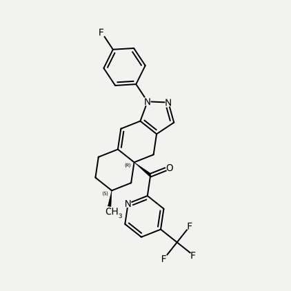 C[C@H]1CCC2=Cc3c(cnn3-c3ccc(F)cc3)C[C@]2(C(=O)c2cc(C(F)(F)F)ccn2)C1